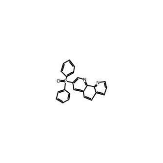 O=P(c1ccccc1)(c1ccccc1)c1cnc2c(ccc3cccnc32)c1